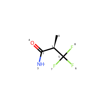 C[C@H](C([NH])=O)C(F)(F)F